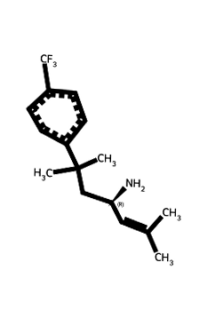 CC(C)=C[C@H](N)CC(C)(C)c1ccc(C(F)(F)F)cc1